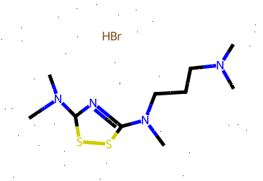 Br.CN(C)CCCN(C)C1=NC(N(C)C)SS1